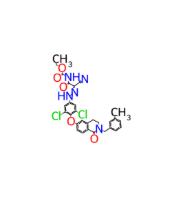 CCOC(=O)NC(=O)C(C#N)=NNc1cc(Cl)c(Oc2ccc3c(c2)CCN(Cc2cccc(C)c2)C3=O)c(Cl)c1